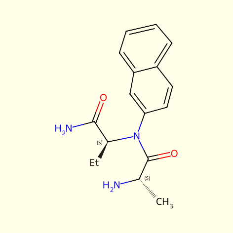 CC[C@@H](C(N)=O)N(C(=O)[C@H](C)N)c1ccc2ccccc2c1